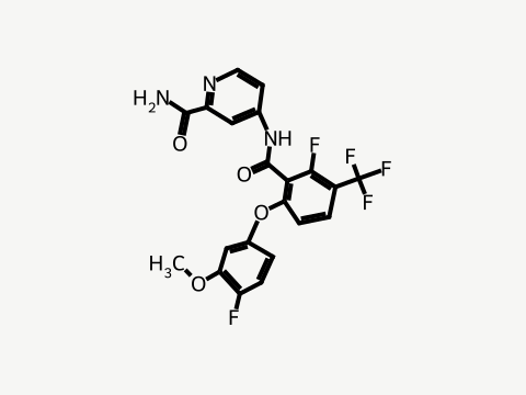 COc1cc(Oc2ccc(C(F)(F)F)c(F)c2C(=O)Nc2ccnc(C(N)=O)c2)ccc1F